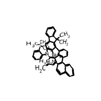 Bc1c2cc3c(c1-c1cccc(-c4c(N)ccc5ccccc45)c1C(/C=C\C=C)=C(/C)N2c1ccccc1S(C)(C)C)C(C)(C)c1ccccc1-3